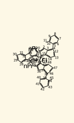 CCCC1=Cc2c(-c3ccccc3C)cccc2[CH]1[Zr]([Cl])([Cl])([c]1cccc2c1[SiH2]c1ccccc1-2)[CH]1C(CCC)=Cc2c(-c3ccccc3C)cccc21